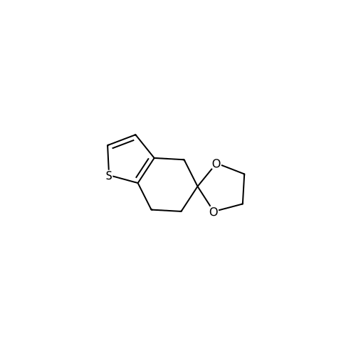 c1cc2c(s1)CCC1(C2)OCCO1